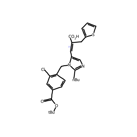 CCCCc1ncc(/C=C(\Cc2cccs2)C(=O)O)n1Cc1ccc(C(=O)OC(C)(C)C)cc1Cl